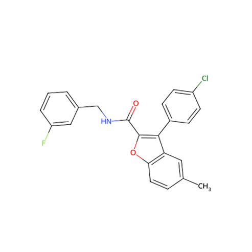 Cc1ccc2oc(C(=O)NCc3cccc(F)c3)c(-c3ccc(Cl)cc3)c2c1